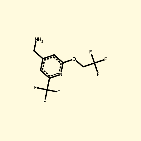 NCc1cc(OCC(F)(F)F)nc(C(F)(F)F)c1